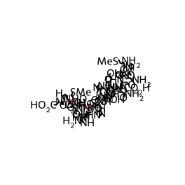 CSCC[C@H](NC(=O)[C@@H](NC(=O)[C@H](CO)NC(=O)[C@H](CCCNC(=N)N)NC(=O)[C@H](Cc1c[nH]cn1)NC(=O)[C@H](Cc1c[nH]cn1)NC(=O)[C@@H](NC(=O)[C@H](Cc1ccc(O)cc1)NC(=O)[C@H](CCC(N)=O)NC(=O)[C@H](CCC(=O)O)NC(=O)[C@H](CCC(N)=O)NC(=O)[C@@H]1CCCN1C(=O)[C@@H](N)CCSC)[C@@H](C)O)[C@@H](C)O)C(=O)N1CCC[C@H]1C(=O)NCC(=O)O